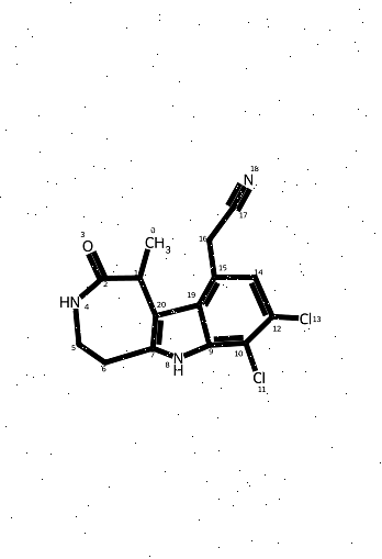 CC1C(=O)NCCc2[nH]c3c(Cl)c(Cl)cc(CC#N)c3c21